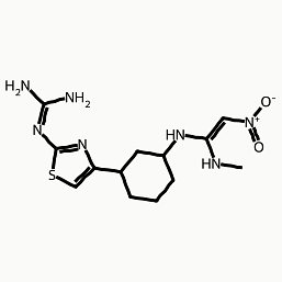 CN/C(=C\[N+](=O)[O-])NC1CCCC(c2csc(N=C(N)N)n2)C1